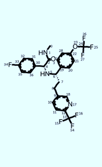 CNC(=O)[C@H](N[C@@H](CCc1ccc(C(F)(F)F)nc1)c1ccc(OC(F)(F)F)cc1)c1ccc(F)cc1